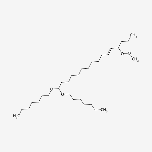 CCCCCCCOC(CCCCCCCCCC=CC(CCC)OOC)OCCCCCCC